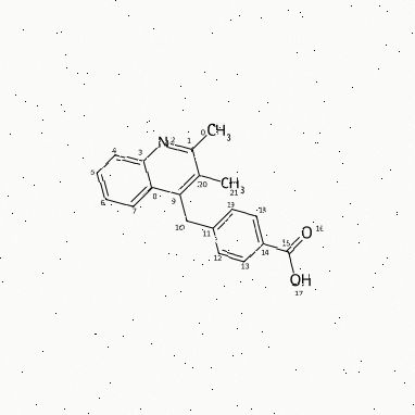 Cc1nc2ccccc2c(Cc2ccc(C(=O)O)cc2)c1C